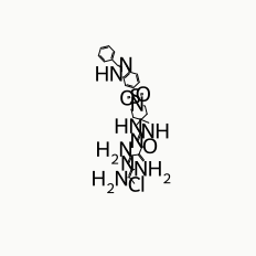 C=C(C(=O)/N=C1\NCC2(CCN(S(=O)(=O)c3ccc4nc(-c5ccccc5)[nH]c4c3)CC2)N1)/C(N)=N\C(N)=C(/N)Cl